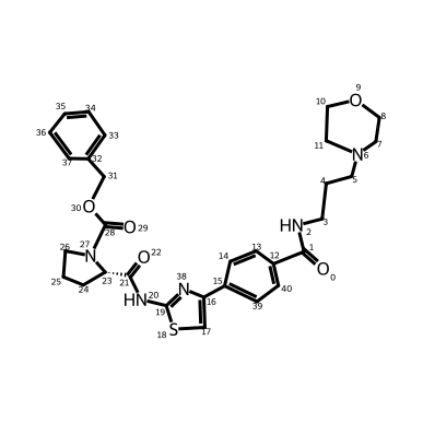 O=C(NCCCN1CCOCC1)c1ccc(-c2csc(NC(=O)[C@@H]3CCCN3C(=O)OCc3ccccc3)n2)cc1